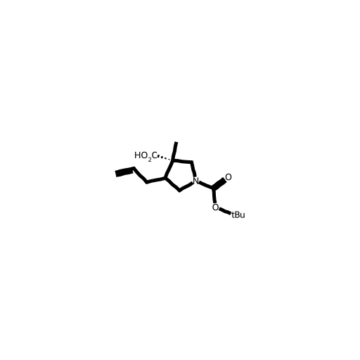 C=CCC1CN(C(=O)OC(C)(C)C)C[C@@]1(C)C(=O)O